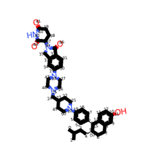 CC(C)CC[C@H]1CCc2cc(O)ccc2[C@H]1c1ccc(N2CCC(CN3CCN(c4ccc5c(c4)CN(C4CCC(=O)NC4=O)C5=O)CC3)CC2)cc1